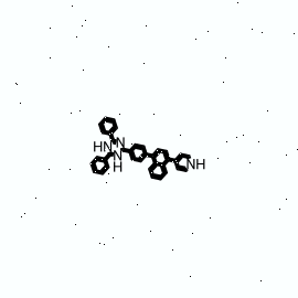 C1=CC(c2ccc(-c3ccc(C4N=C(c5ccccc5)NC(c5ccccc5)N4)cc3)c3ccccc23)=CCN1